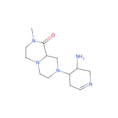 CN1CCN2CCN(C3CC=NCC3N)CC2C1=O